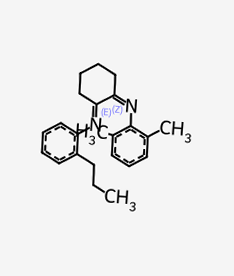 CCCc1ccccc1/N=C1\CCCC\C1=N\c1c(C)cccc1C